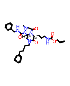 C=CCOC(=O)NCCC[C@H]1C(=O)N(CCCCc2ccccc2)C[C@H]2N1C(=O)CN(C)N2C(=O)NCc1ccccc1